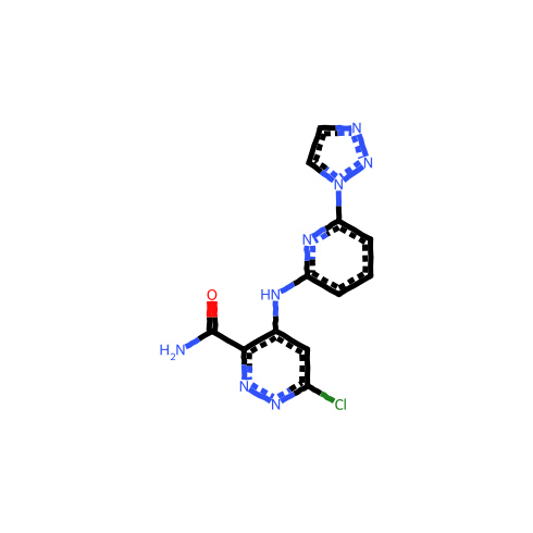 NC(=O)c1nnc(Cl)cc1Nc1cccc(-n2ccnn2)n1